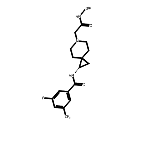 CC(C)(C)NC(=O)CN1CCC2(CC1)C[C@@H]2NC(=O)c1cc(F)cc(C(F)(F)F)c1